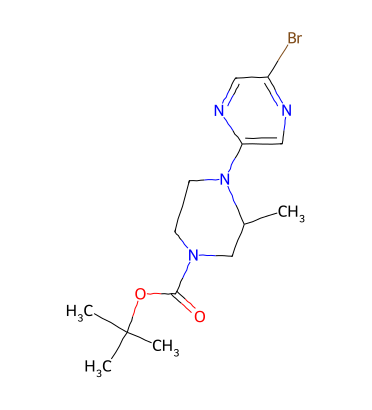 CC1CN(C(=O)OC(C)(C)C)CCN1c1cnc(Br)cn1